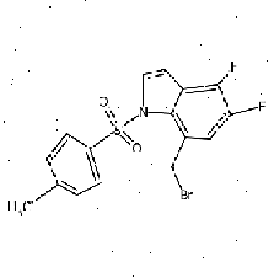 Cc1ccc(S(=O)(=O)n2ccc3c(F)c(F)cc(CBr)c32)cc1